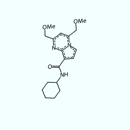 COCc1cc(COC)n2ccc(C(=O)NC3CCCCC3)c2n1